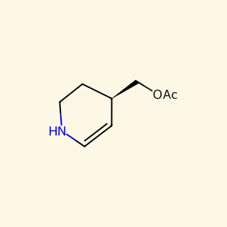 CC(=O)OC[C@H]1C=CNCC1